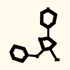 CC(=O)c1cc(-c2ccncc2)sc1Oc1ccccc1